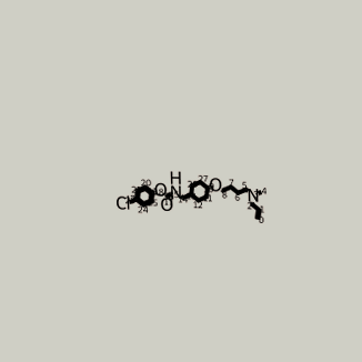 C=CCN(C)CCCCOC1CCC(CNC(=O)Oc2ccc(Cl)cc2)CC1